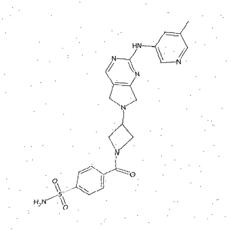 Cc1cncc(Nc2ncc3c(n2)CN(C2CN(C(=O)c4ccc(S(N)(=O)=O)cc4)C2)C3)c1